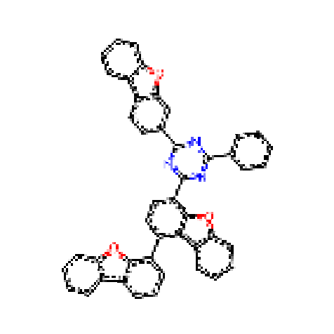 c1ccc(-c2nc(-c3ccc4c(c3)oc3ccccc34)nc(-c3ccc(-c4cccc5c4oc4ccccc45)c4c3oc3ccccc34)n2)cc1